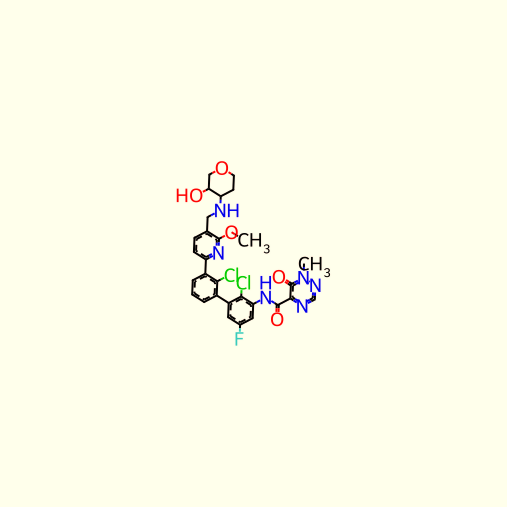 COc1nc(-c2cccc(-c3cc(F)cc(NC(=O)c4ncnn(C)c4=O)c3Cl)c2Cl)ccc1CNC1CCOCC1O